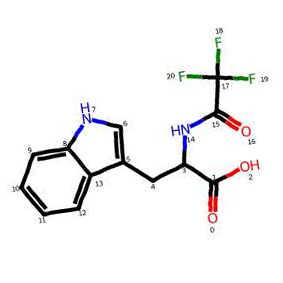 O=C(O)C(Cc1c[nH]c2ccccc12)NC(=O)C(F)(F)F